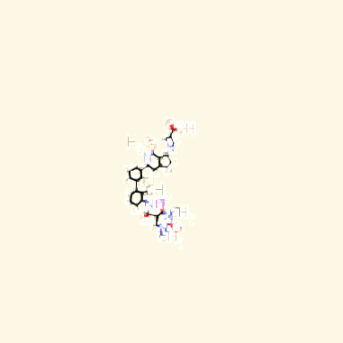 COc1nc(-c2cccc(-c3cccc(NC(=O)c4cn(C)c(=O)n(C)c4=O)c3C)c2Cl)cc2c1[C@H](N1CC(C(=O)O)C1)CC2